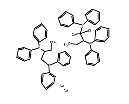 CCC(CP(c1ccccc1)c1ccccc1)P(c1ccccc1)c1ccccc1.CCC(P(c1ccccc1)c1ccccc1)C(Cl)(Cl)P(c1ccccc1)c1ccccc1.[Au].[Au]